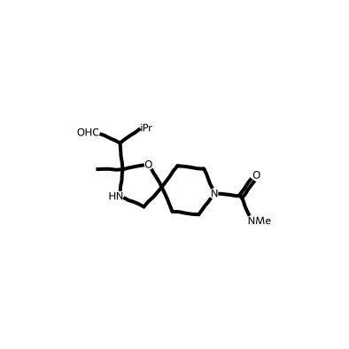 CNC(=O)N1CCC2(CC1)CNC(C)(C(C=O)C(C)C)O2